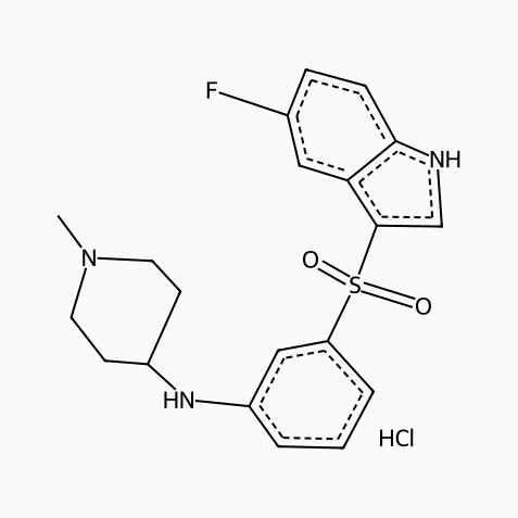 CN1CCC(Nc2cccc(S(=O)(=O)c3c[nH]c4ccc(F)cc34)c2)CC1.Cl